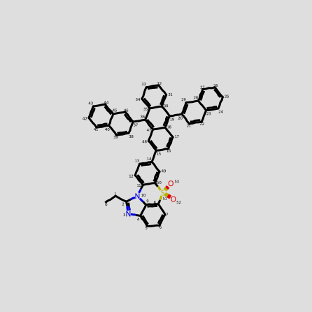 CCc1nc2cccc3c2n1-c1ccc(-c2ccc4c(-c5ccc6ccccc6c5)c5ccccc5c(-c5ccc6ccccc6c5)c4c2)cc1S3(=O)=O